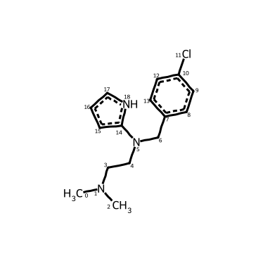 CN(C)CCN(Cc1ccc(Cl)cc1)c1ccc[nH]1